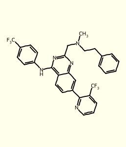 CN(CCc1ccccc1)Cc1nc(Nc2ccc(C(F)(F)F)cc2)c2ccc(-c3ncccc3C(F)(F)F)cc2n1